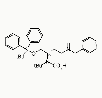 CC(C)(C)N(C(=O)O)[C@@H](CCNCc1ccccc1)CO[Si](c1ccccc1)(c1ccccc1)C(C)(C)C